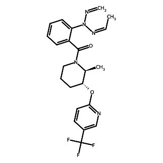 C=NN(/N=C\C)c1ccccc1C(=O)N1CCC[C@@H](Oc2ccc(C(F)(F)F)cn2)[C@@H]1C